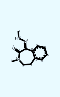 CNN=C1C(=O)N(C)CCc2ccccc21